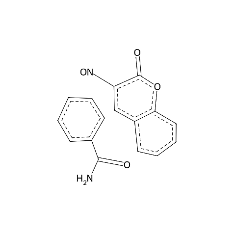 NC(=O)c1ccccc1.O=Nc1cc2ccccc2oc1=O